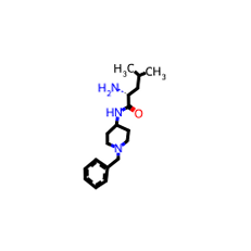 CC(C)C[C@@H](N)C(=O)NC1CCN(Cc2ccccc2)CC1